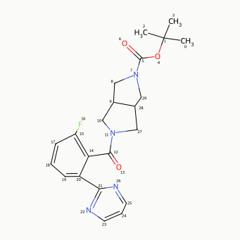 CC(C)(C)OC(=O)N1CC2CN(C(=O)c3c(F)cccc3-c3ncccn3)CC2C1